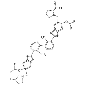 Cc1c(-c2nc3cc(CN4CCC(F)C4)c(OC(F)F)cc3o2)cccc1-c1cccc(-c2nc3cc(CN4CCC[C@H]4C(=O)O)c(OC(F)F)cc3o2)c1C